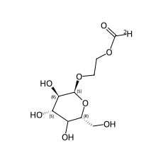 [2H]C(=O)OCCO[C@H]1O[C@H](CO)C(O)[C@H](O)[C@H]1O